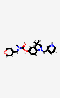 CN(CC1CCOCC1)C(=O)Oc1ccc2c(c1)C(C)(C)CN2Cc1cccnc1